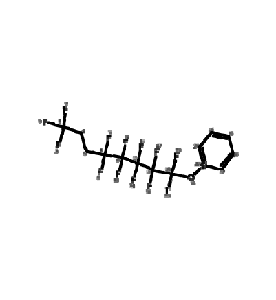 FC(F)(F)CCC(F)(F)C(F)(F)C(F)(F)C(F)(F)C(F)(F)O[si]1ccccc1